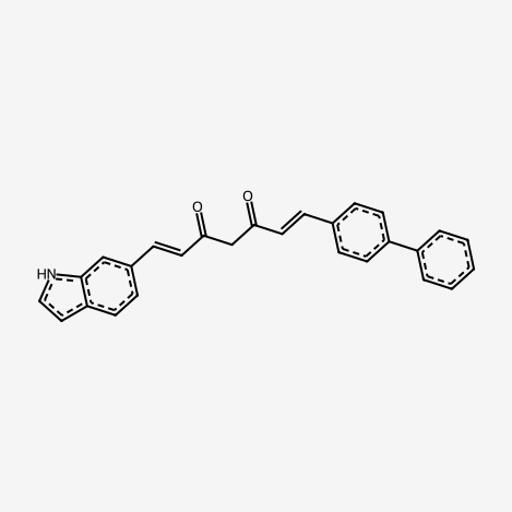 O=C(C=Cc1ccc(-c2ccccc2)cc1)CC(=O)C=Cc1ccc2cc[nH]c2c1